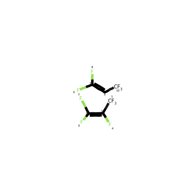 FC(F)=C(F)C(F)(F)F.FC(F)=CC(F)(F)F